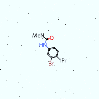 CNC(=O)Nc1ccc(C(C)C)c(Br)c1